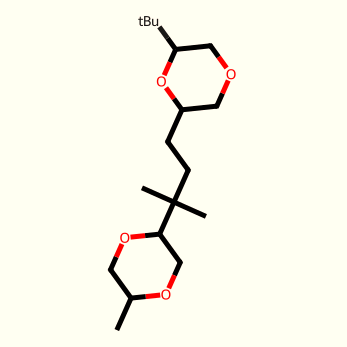 CC1COC(C(C)(C)CCC2COCC(C(C)(C)C)O2)CO1